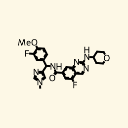 COc1ccc(C(NC(=O)c2cc(F)c3cnc(NC4CCOCC4)nc3c2)c2cn(C)cn2)cc1F